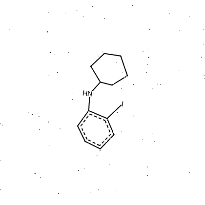 Ic1c[c]ccc1NC1CCCCC1